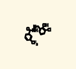 O=C(N/N=C\c1cccc(Cl)c1O)c1cccc(C(F)(F)F)c1